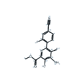 COC(=O)c1nc(-c2ccc(C#N)cc2F)c(F)c(N)c1Cl